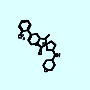 CC1C2CC(c3ccccc3C(F)(F)F)=CCN2C(=O)[C@]12CCC(NC1CCOCC1)C2